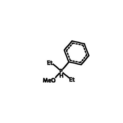 CC[PH](CC)(OC)c1ccccc1